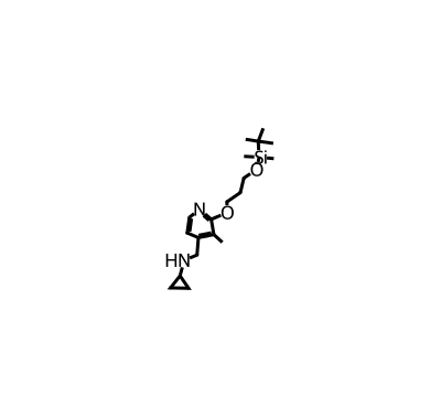 Cc1c(CNC2CC2)ccnc1OCCCO[Si](C)(C)C(C)(C)C